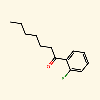 CCCCCCC(=O)c1ccccc1F